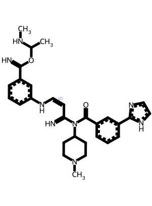 CNC(C)OC(=N)c1cccc(N/C=C\C(=N)N(C(=O)c2cccc(-c3ncc[nH]3)c2)C2CCN(C)CC2)c1